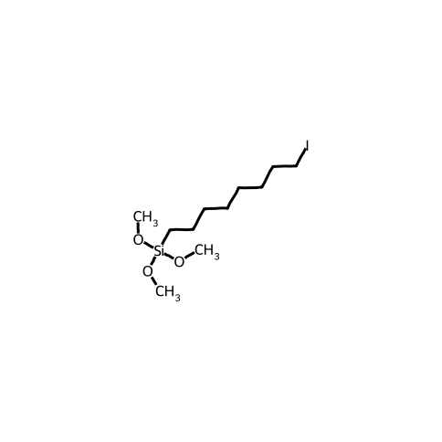 CO[Si](CCCCCCCCI)(OC)OC